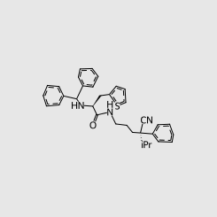 CC(C)[C@@](C#N)(CCCNC(=O)[C@H](Cc1cccs1)NC(c1ccccc1)c1ccccc1)c1ccccc1